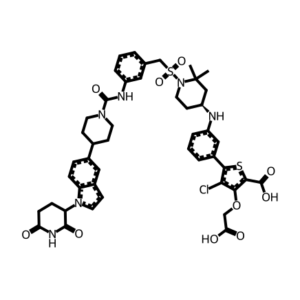 CC1(C)C[C@@H](Nc2cccc(-c3sc(C(=O)O)c(OCC(=O)O)c3Cl)c2)CCN1S(=O)(=O)Cc1cccc(NC(=O)N2CCC(c3ccc4c(ccn4C4CCC(=O)NC4=O)c3)CC2)c1